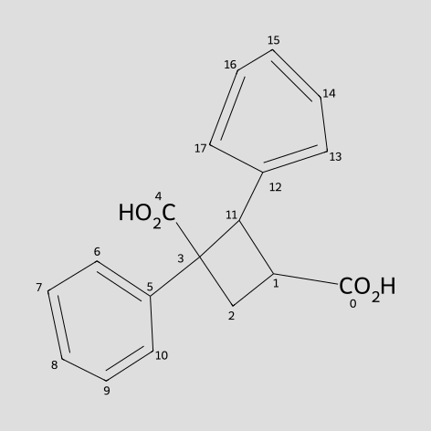 O=C(O)C1CC(C(=O)O)(c2ccccc2)C1c1ccccc1